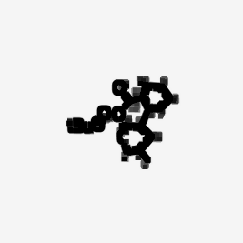 Cc1cccc(-c2ccccc2C(=O)OOOC(C)(C)C)c1